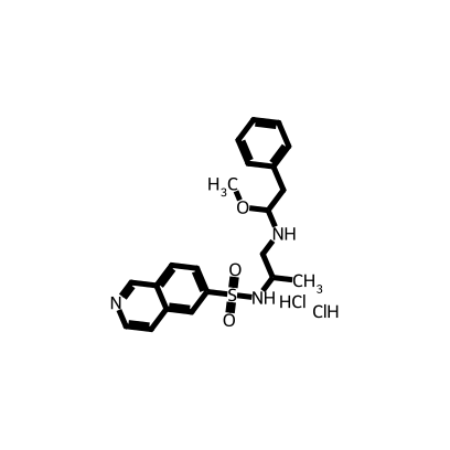 COC(Cc1ccccc1)NCC(C)NS(=O)(=O)c1ccc2cnccc2c1.Cl.Cl